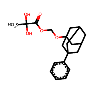 O=C(OCOC12CC3CC(C1)CC(c1ccccc1)(C3)C2)C(O)(O)S(=O)(=O)O